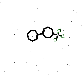 Cl[Si](Cl)(Cl)C1CCC=C(C2=CCCCCC2)CC1